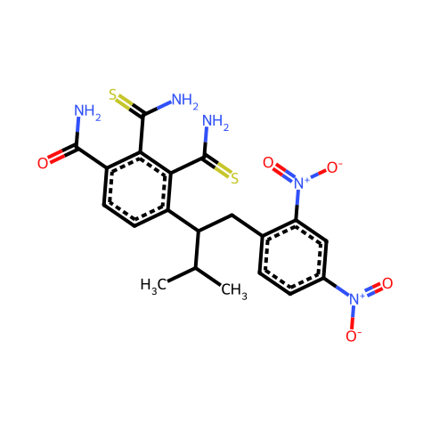 CC(C)C(Cc1ccc([N+](=O)[O-])cc1[N+](=O)[O-])c1ccc(C(N)=O)c(C(N)=S)c1C(N)=S